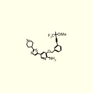 COC(C)(C#Cc1cccc(COc2cc(-c3cnc(C4CCN(C)CC4)s3)cnc2N)c1)C(F)(F)F